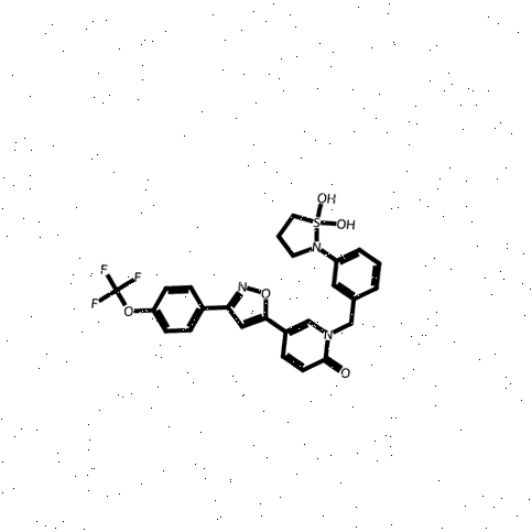 O=c1ccc(-c2cc(-c3ccc(OC(F)(F)F)cc3)no2)cn1Cc1cccc(N2CCCS2(O)O)c1